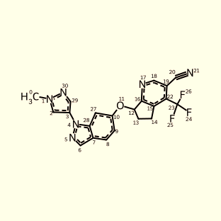 Cn1cc(-n2ncc3ccc(OC4CCc5c4ncc(C#N)c5C(F)(F)F)cc32)cn1